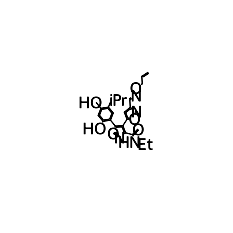 C=CCO/N=C/c1cc(-c2c(C(=O)NCC)noc2-c2cc(C(C)C)c(O)cc2O)on1